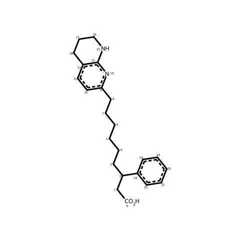 O=C(O)CC(CCCCCCc1ccc2c(n1)NCCC2)c1ccccc1